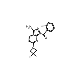 Cc1ccccc1C(=O)n1nc(N)c2ccc(N3CC(F)(F)C3)nc21